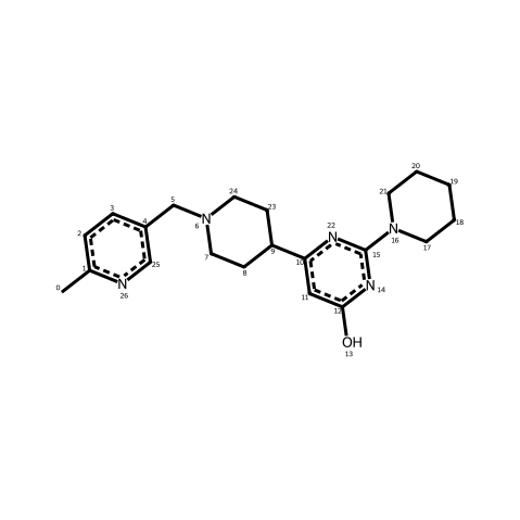 Cc1ccc(CN2CCC(c3cc(O)nc(N4CCCCC4)n3)CC2)cn1